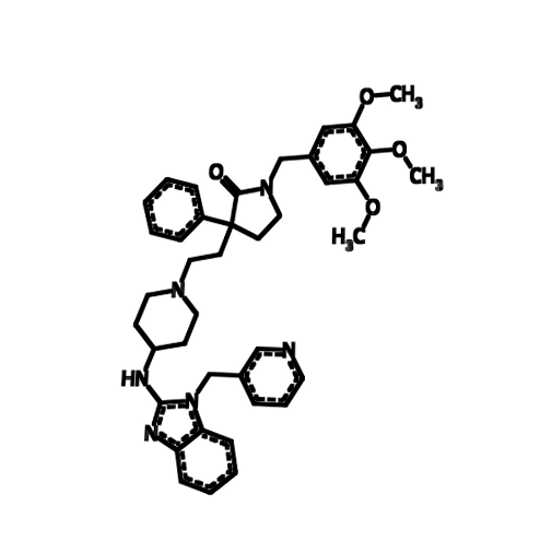 COc1cc(CN2CCC(CCN3CCC(Nc4nc5ccccc5n4Cc4cccnc4)CC3)(c3ccccc3)C2=O)cc(OC)c1OC